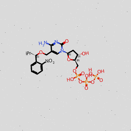 CC(C)[C@H](OCc1cn([C@H]2C[C@H](O)[C@@H](COP(=O)(O)OP(=O)(O)OP(=O)(O)O)O2)c(=O)nc1N)c1ccccc1[N+](=O)[O-]